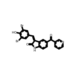 O=C1Nc2ccc(C(=O)c3cccnc3)cc2/C1=C/c1cc(Br)c(O)c(Br)c1